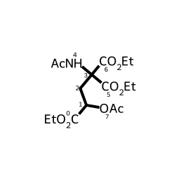 CCOC(=O)C(CC(NC(C)=O)(C(=O)OCC)C(=O)OCC)OC(C)=O